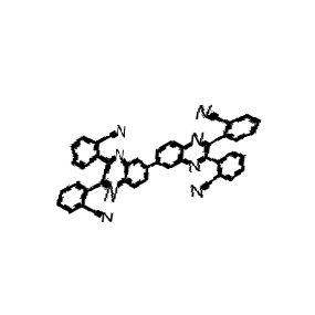 N#Cc1ccccc1-c1nc2ccc(-c3ccc4nc(-c5ccccc5C#N)c(-c5ccccc5C#N)nc4c3)cc2nc1-c1ccccc1C#N